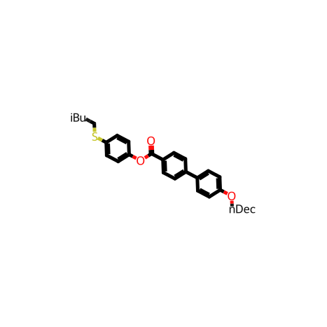 CCCCCCCCCCOc1ccc(-c2ccc(C(=O)Oc3ccc(SCC(C)CC)cc3)cc2)cc1